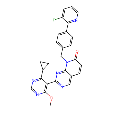 COc1ncnc(C2CC2)c1-c1ncc2ccc(=O)n(Cc3ccc(-c4ncccc4F)cc3)c2n1